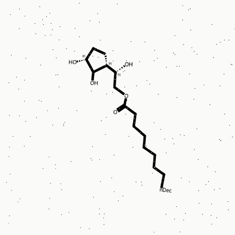 CCCCCCCCCCCCCCCCCC(=O)OC[C@@H](O)[C@H]1CC[C@@H](O)C1O